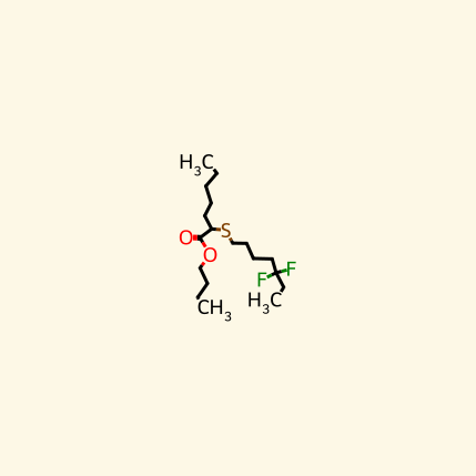 CCCCCC(SCCCCC(F)(F)CC)C(=O)OCCCC